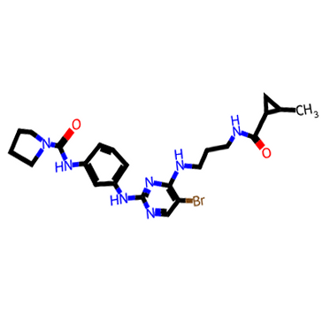 CC1CC1C(=O)NCCCNc1nc(Nc2cccc(NC(=O)N3CCCC3)c2)ncc1Br